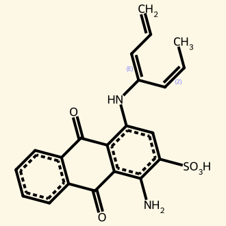 C=C/C=C(\C=C/C)Nc1cc(S(=O)(=O)O)c(N)c2c1C(=O)c1ccccc1C2=O